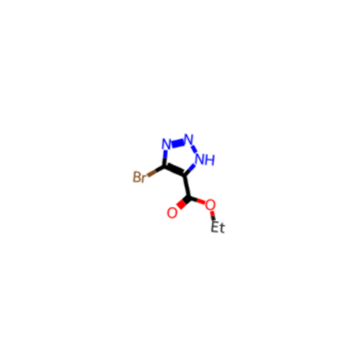 CCOC(=O)c1[nH]nnc1Br